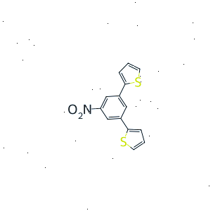 O=[N+]([O-])c1cc(-c2cccs2)cc(-c2cccs2)c1